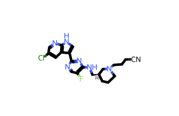 N#CCCCN1CCC[C@@H](CNc2nc(-c3c[nH]c4ncc(Cl)cc34)ncc2F)C1